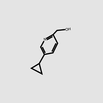 OCc1ccc(C2CC2)cn1